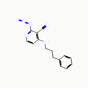 N#Cc1c(NCCCc2ccccc2)ccnc1N=[N+]=[N-]